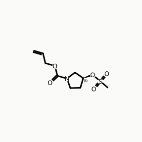 C=CCOC(=O)N1CC[C@H](OS(C)(=O)=O)C1